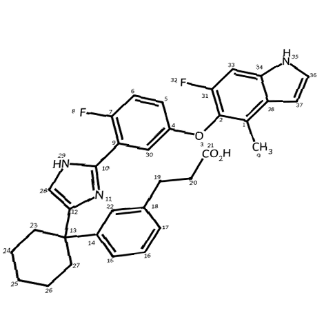 Cc1c(Oc2ccc(F)c(-c3nc(C4(c5cccc(CCC(=O)O)c5)CCCCC4)c[nH]3)c2)c(F)cc2[nH]ccc12